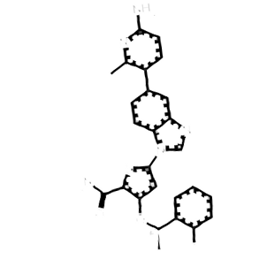 Cc1nc(N)ccc1-c1ccc2c(c1)ncn2-c1cc(O[C@H](C)c2ccccc2Cl)c(C(N)=O)s1